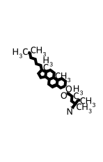 CC(C)CCCCC1CCC2C3CC=C4CC(OC(=O)CCC(C)(C#N)C(C)C)CCC4(C)C3CCC12C